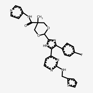 CC1(C(=O)Nc2ccncc2)COC(c2nc(-c3ccc(F)cc3)c(-c3ccnc(NCc4cccs4)n3)[nH]2)OC1